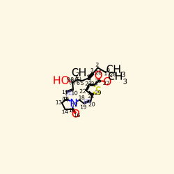 CCCC#CC[C@H](C)[C@H](O)/C=C/[C@H]1CCC(=O)N1C/C=C\c1ccc(C(=O)OC)s1